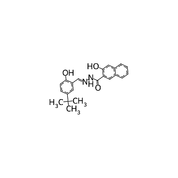 CC(C)(C)c1ccc(O)c(/C=N/NC(=O)c2cc3ccccc3cc2O)c1